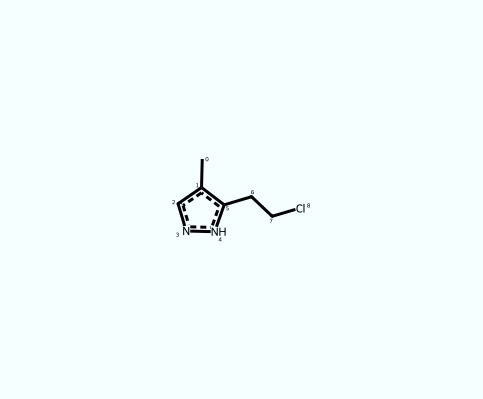 Cc1[c]n[nH]c1CCCl